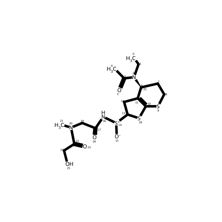 CCN(C(C)=O)[C@H]1CCSC2=C1CC([S+]([O-])NC(=O)CN(C)C(=O)CO)S2